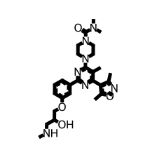 CNCC(O)COc1cccc(-c2nc(-c3c(C)noc3C)c(C)c(N3CCN(C(=O)N(C)C)CC3)n2)c1